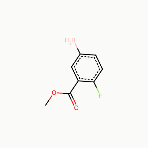 Bc1ccc(F)c(C(=O)OC)c1